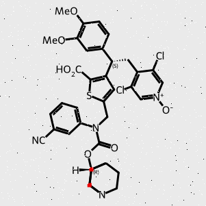 COc1ccc([C@H](Cc2c(Cl)c[n+]([O-])cc2Cl)c2cc(CN(C(=O)O[C@H]3CN4CCC3CC4)c3cccc(C#N)c3)sc2C(=O)O)cc1OC